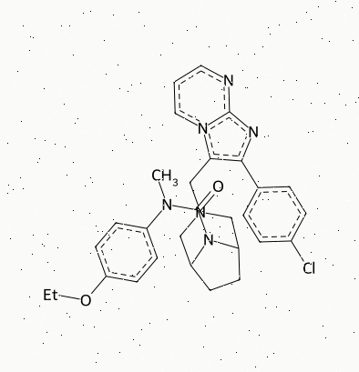 CCOc1ccc(N(C)C(=O)N2C3CCC2CN(Cc2c(-c4ccc(Cl)cc4)nc4ncccn24)C3)cc1